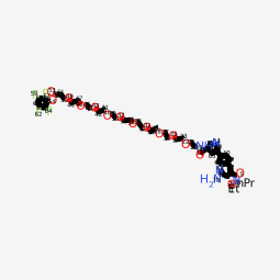 CCCN(OCC)C(=O)C1=Cc2ccc(-c3cncc(C(=O)NCCOCCOCCOCCOCCOCCOCCOCCOCCOCCOCCC(=O)Oc4c(F)c(F)cc(F)c4F)c3)cc2N=C(N)C1